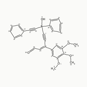 COc1cc(/C(C#CC(O)(C#Cc2ccccc2)c2ccccc2)=C/C=O)cc(OC)c1OC